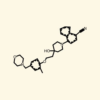 Cc1cc(CN2CCOCC2)ccc1OCCC1(O)CCN(c2ccc(C#N)c3ccccc23)CC1